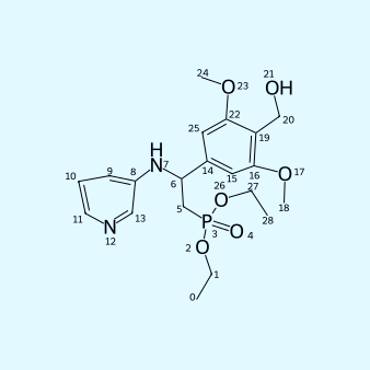 CCOP(=O)(CC(Nc1cccnc1)c1cc(OC)c(CO)c(OC)c1)OCC